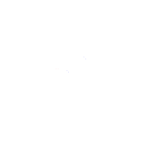 N#Cc1ccccc1C=NO